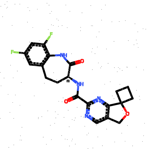 O=C(N[C@H]1CCc2cc(F)cc(F)c2NC1=O)c1ncc2c(n1)C1(CCC1)OC2